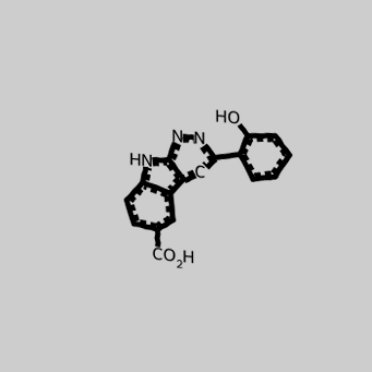 O=C(O)c1ccc2[nH]c3nnc(-c4ccccc4O)cc3c2c1